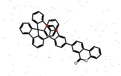 O=c1oc2ccccc2c2ccc(-c3ccc4c(c3)c3ccccc3n4-c3cccc4c3C3(c5ccccc5-c5ccccc53)c3ccccc3-4)cc12